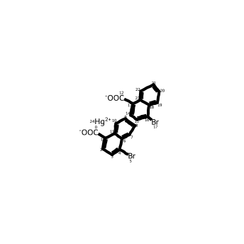 O=C([O-])c1ccc(Br)c2ccccc12.O=C([O-])c1ccc(Br)c2ccccc12.[Hg+2]